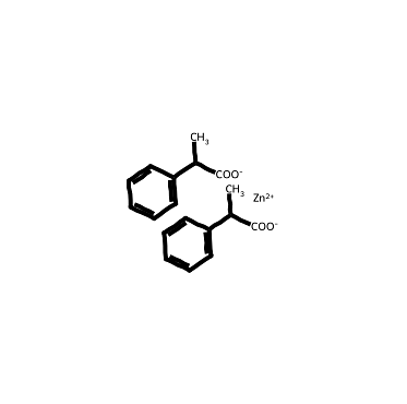 CC(C(=O)[O-])c1ccccc1.CC(C(=O)[O-])c1ccccc1.[Zn+2]